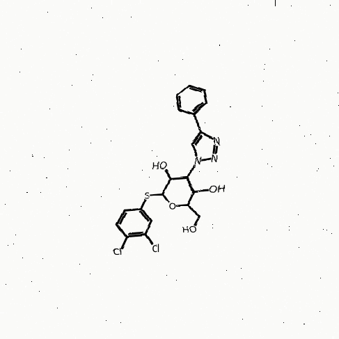 OCC1OC(Sc2ccc(Cl)c(Cl)c2)C(O)C(n2cc(-c3ccccc3)nn2)C1O